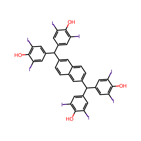 Oc1c(I)cc(C(c2cc(I)c(O)c(I)c2)c2ccc3cc(C(c4cc(I)c(O)c(I)c4)c4cc(I)c(O)c(I)c4)ccc3c2)cc1I